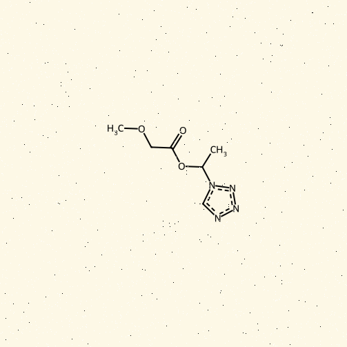 COCC(=O)OC(C)n1[c]nnn1